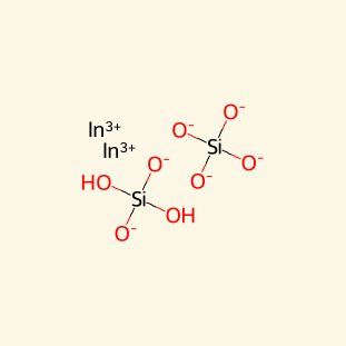 [In+3].[In+3].[O-][Si]([O-])(O)O.[O-][Si]([O-])([O-])[O-]